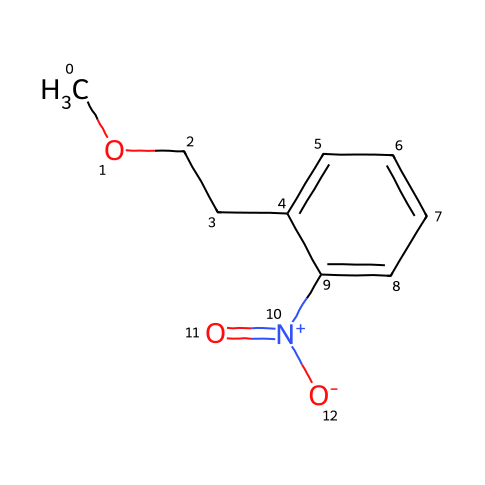 COCCc1ccccc1[N+](=O)[O-]